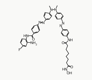 CN(c1ccc(/N=N/c2ccc(NC(=O)CCCCCCC(=O)NO)cc2)cc1)N(C)c1ccc(/N=N/c2ccc(C(=O)Nc3ccc(F)cc3N)cc2)cc1